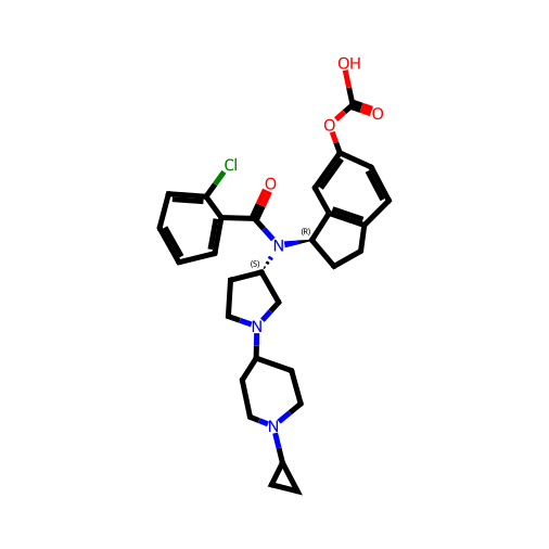 O=C(O)Oc1ccc2c(c1)[C@H](N(C(=O)c1ccccc1Cl)[C@H]1CCN(C3CCN(C4CC4)CC3)C1)CC2